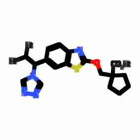 CCOC(=O)C1(COc2nc3ccc(C(C(CC)CC)n4cnnc4)cc3s2)CCCC1